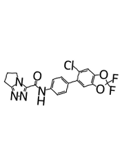 O=C(Nc1ccc(-c2cc3c(cc2Cl)OC(F)(F)O3)cc1)c1nnc2n1CCC2